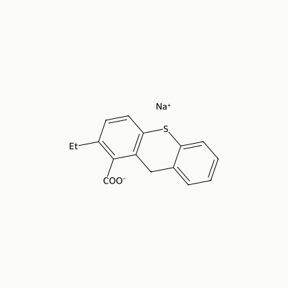 CCc1ccc2c(c1C(=O)[O-])Cc1ccccc1S2.[Na+]